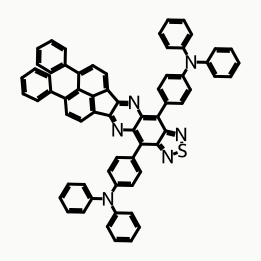 c1ccc(-c2ccc3c4c(ccc(-c5ccccc5)c24)-c2nc4c(-c5ccc(N(c6ccccc6)c6ccccc6)cc5)c5nsnc5c(-c5ccc(N(c6ccccc6)c6ccccc6)cc5)c4nc2-3)cc1